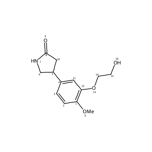 COc1ccc(C2CNC(=O)C2)cc1OCCO